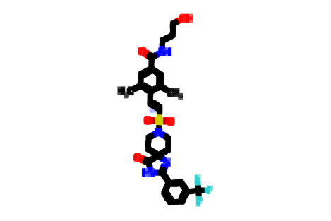 Cc1cc(C(=O)NCCCO)cc(C)c1/C=C/S(=O)(=O)N1CCC2(CC1)N=C(c1cccc(C(F)(F)F)c1)NC2=O